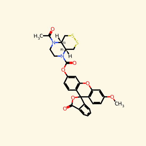 COc1ccc2c(c1)Oc1cc(OC(=O)N3CCN(C(C)=O)[C@@H]4CSSC[C@@H]43)ccc1C21OC(=O)c2ccccc21